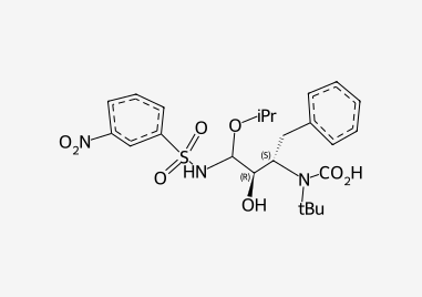 CC(C)OC(NS(=O)(=O)c1cccc([N+](=O)[O-])c1)[C@H](O)[C@H](Cc1ccccc1)N(C(=O)O)C(C)(C)C